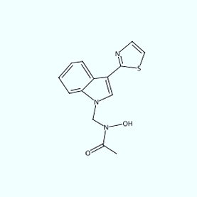 CC(=O)N(O)Cn1cc(-c2nccs2)c2ccccc21